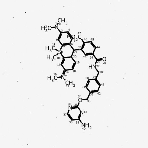 CN(C)c1ccc2c(c1)[Si](C)(C)C1=CC(=[N+](C)C)C=CC1C2c1cc(C(=O)NCc2ccc(COc3nccc(N)n3)cc2)ccc1C(=O)O